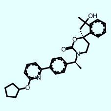 C[C@@H](c1ccc(-c2cccc(OC3CCCC3)n2)cc1)N1CC[C@](CC(C)(C)O)(c2ccccc2)OC1=O